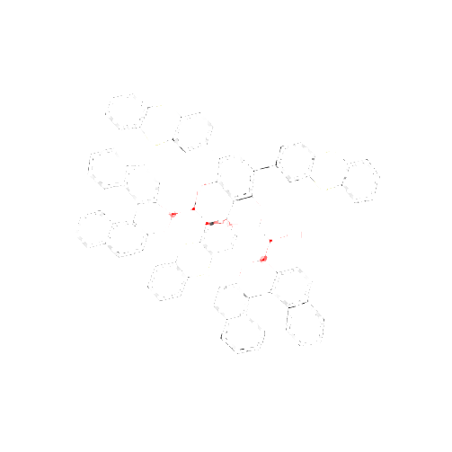 OCCOc1ccc2ccccc2c1-c1c(OCCOc2c(-c3ccc4c(c3)Sc3ccccc3S4)cc(-c3ccc4c(c3)Sc3ccccc3S4)c(OCCOc3ccc4ccccc4c3-c3c(OCCO)ccc4ccccc34)c2-c2ccc3c(c2)Sc2ccccc2S3)ccc2ccccc12